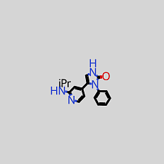 CC(C)Nc1cc(-c2c[nH]c(=O)n2-c2ccccc2)ccn1